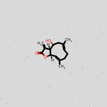 C=C1C(=O)O[C@H]2/C=C(\C)CC/C=C(\C)C[C@H](O)[C@@H]12